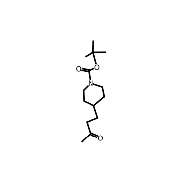 CC(=O)CCC1CCN(C(=O)OC(C)(C)C)CC1